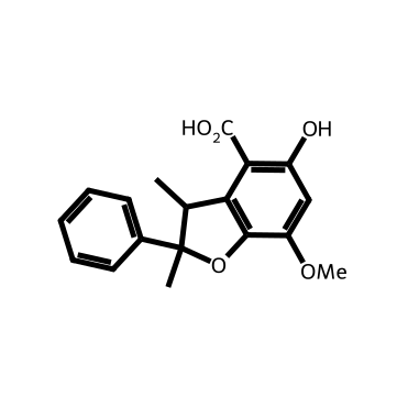 COc1cc(O)c(C(=O)O)c2c1OC(C)(c1ccccc1)C2C